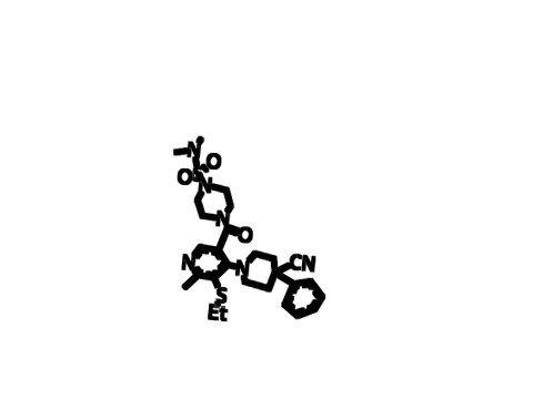 CCSc1c(C)ncc(C(=O)N2CCN(S(=O)(=O)N(C)C)CC2)c1N1CCC(C#N)(c2ccccc2)CC1